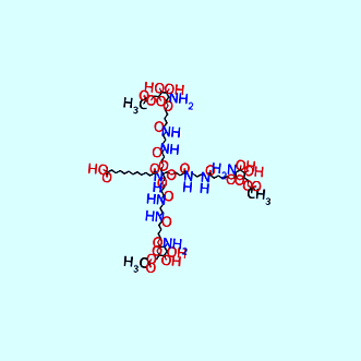 CC(=O)OCC1OC(OCCCCC(=O)NCCCNC(=O)CCOCC(COCCC(=O)NCCCNC(=O)CCCCOC2OC(COC(C)=O)C(O)C(O)C2N)(COCCC(=O)NCCCNC(=O)CCCCOC2OC(COC(C)=O)C(O)C(O)C2N)NC(=O)CCCCCCCCCCC(=O)O)C(N)C(O)C1O